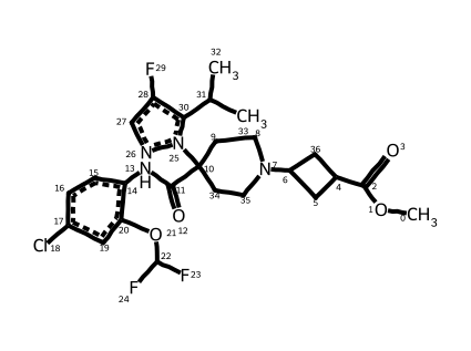 COC(=O)C1CC(N2CCC(C(=O)Nc3ccc(Cl)cc3OC(F)F)(n3ncc(F)c3C(C)C)CC2)C1